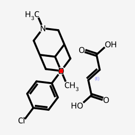 CN1CC2CN(C)CC(C1)C2Oc1ccc(Cl)cc1.O=C(O)/C=C/C(=O)O